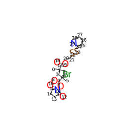 CC(C)(CC(C)(Br)C(=O)ON1C(=O)CCC1=O)C(=O)OCCSSc1ccccn1